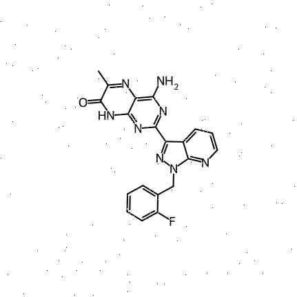 Cc1nc2c(N)nc(-c3nn(Cc4ccccc4F)c4ncccc34)nc2[nH]c1=O